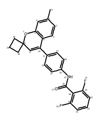 Cc1ccc2c(c1)OC1(C=C2c2ccc(NC(=O)c3c(F)cccc3F)cc2)CCC1